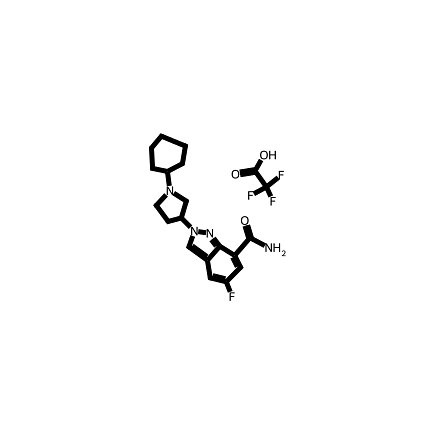 NC(=O)c1cc(F)cc2cn(C3CCN(C4CCCCC4)C3)nc12.O=C(O)C(F)(F)F